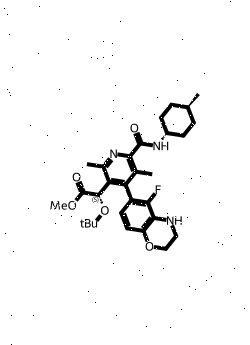 COC(=O)[C@@H](OC(C)(C)C)c1c(C)nc(C(=O)N[C@H]2CC[C@H](C)CC2)c(C)c1-c1ccc2c(c1F)NCCO2